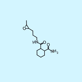 CC1OC1CCCNC(=O)C1CCCCC1C(N)=O